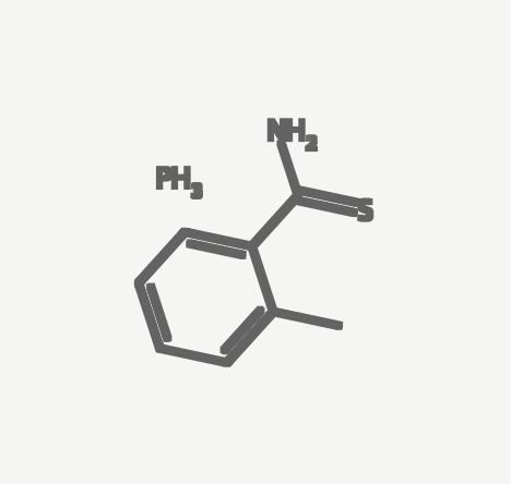 Cc1ccccc1C(N)=S.P